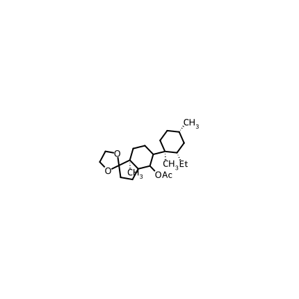 CC[C@H]1C[C@@H](C)CC[C@]1(C)C1CC[C@@]2(C)C(CCC23OCCO3)C1OC(C)=O